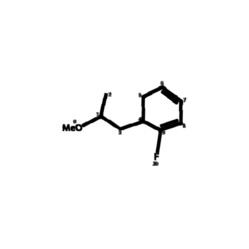 COC(C)CC1CC=CC=C1F